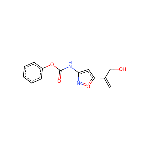 C=C(CO)c1cc(NC(=O)Oc2ccccc2)no1